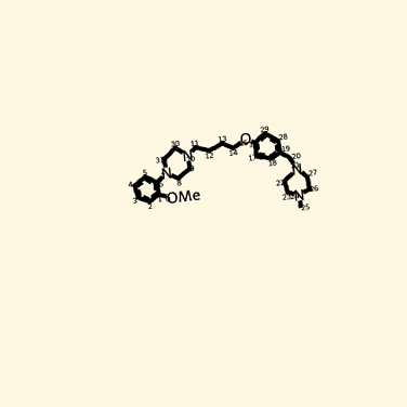 COc1ccccc1N1CCN(CCCCOc2ccc(CN3CCN(C)CC3)cc2)CC1